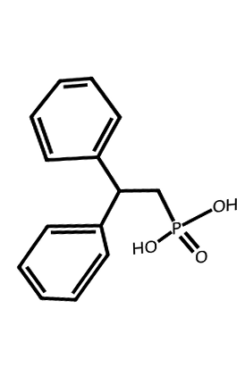 O=P(O)(O)CC(c1ccccc1)c1ccccc1